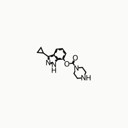 O=C(Oc1cccc2c(C3CC3)n[nH]c12)N1CCNCC1